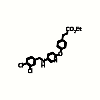 CCOC(=O)CCc1ccc(Oc2ccc(NCc3ccc(Cl)c(Cl)c3)cn2)cc1